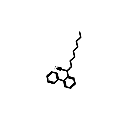 CCCCCCCCC(C#N)c1ccccc1-c1ccccc1